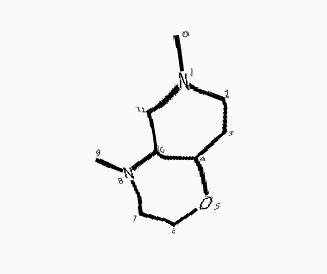 CN1CCC2OCCN(C)C2C1